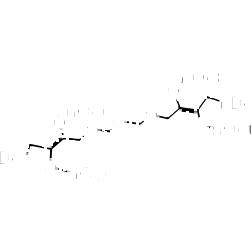 CCCCCCCCCCCC(OCCCCCCCC)=C(COCOCOCC(OCCCCCCCC)=C(CCCCCCCCCCC)OCCCCCCCC)OCCCCCCCC